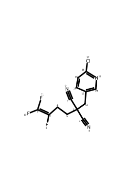 N#CC(C#N)(CCC(F)=C(F)F)Cc1ccc(Cl)nc1